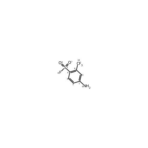 Nc1ccc(S(=O)(=O)F)c(C(F)(F)F)c1